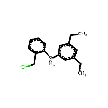 CCc1cc(CC)cc([SiH2]c2ccccc2CCl)c1